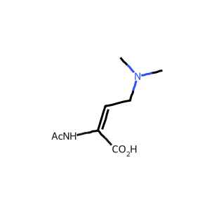 CC(=O)NC(=CCN(C)C)C(=O)O